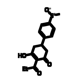 CCC(=O)C1=C(O)CC(c2ccc([S+](C)[O-])cc2)CC1=O